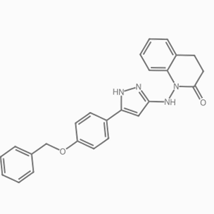 O=C1CCc2ccccc2N1Nc1cc(-c2ccc(OCc3ccccc3)cc2)[nH]n1